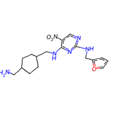 NCC1CCC(CNc2nc(NCc3ccco3)ncc2[N+](=O)[O-])CC1